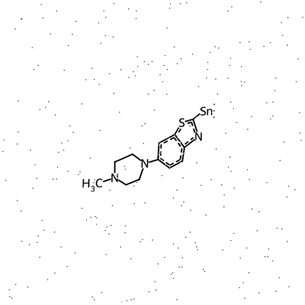 CN1CCN(c2ccc3n[c]([Sn])sc3c2)CC1